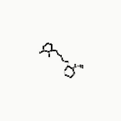 CC1CCCC(CCCCCC2CCCCC2C=O)C1C